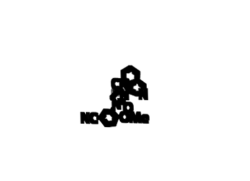 COc1ccc(C#N)cc1N1C[C@H](C#N)N(c2cncc3ccccc23)C1=O